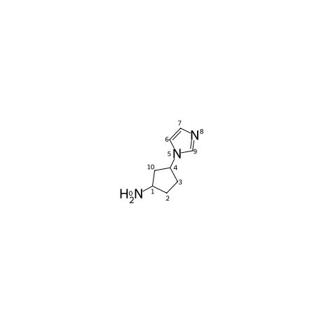 NC1CCC(n2ccnc2)C1